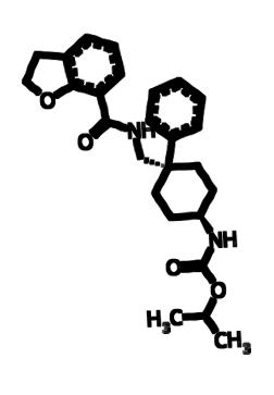 CC(C)OC(=O)N[C@H]1CC[C@@](CNC(=O)c2cccc3c2OCC3)(c2ccccc2)CC1